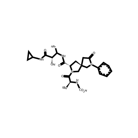 CCCC(NC(=O)[C@@H]1C[C@]2(CC(=O)N(c3ccccc3)C2)CN1C(=O)[C@@H](NC(=O)O)C(C)(C)C)[C@H](O)C(=O)NC1CC1